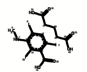 CNc1c(I)cc(I)c(C(=O)O)c1I.O=C(O)CCCC(=O)O